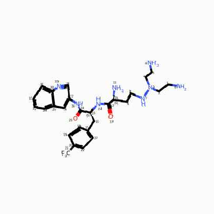 NCCN(CCN)NCC[C@H](N)C(=O)N[C@@H](Cc1ccc(C(F)(F)F)cc1)C(=O)Nc1cnc2ccccc2c1